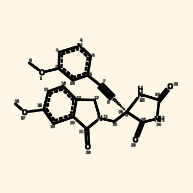 COc1cncc(C#C[C@]2(CN3Cc4ccc(OC)cc4C3=O)NC(=O)NC2=O)c1